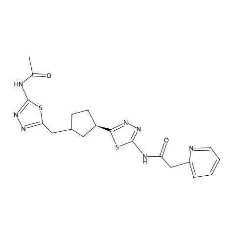 CC(=O)Nc1nnc(CC2CC[C@@H](c3nnc(NC(=O)Cc4ccccn4)s3)C2)s1